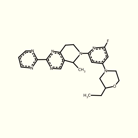 CCC1CN(c2cc(F)nc(N3CCc4nc(-c5ncccn5)ncc4C3C)c2)CCO1